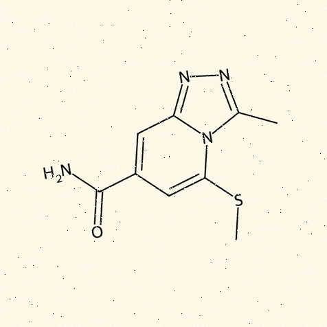 CSc1cc(C(N)=O)cc2nnc(C)n12